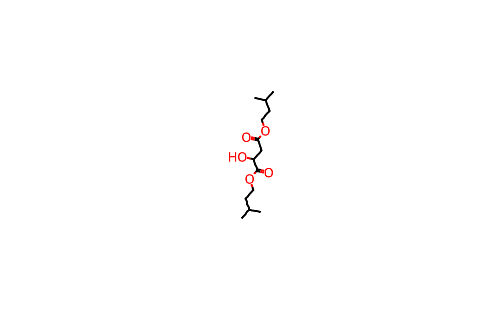 CC(C)CCOC(=O)CC(O)C(=O)OCCC(C)C